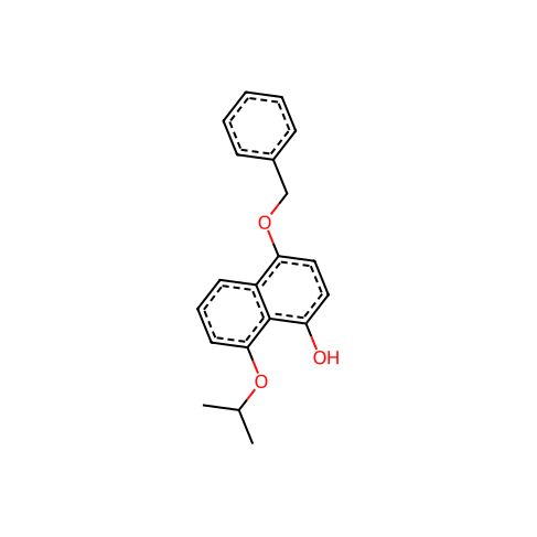 CC(C)Oc1cccc2c(OCc3ccccc3)ccc(O)c12